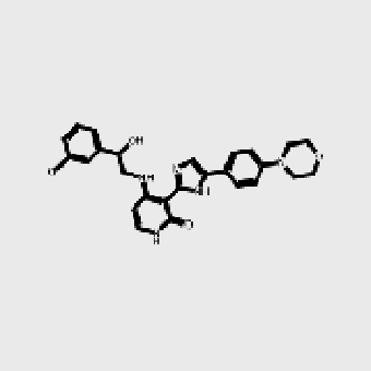 O=c1[nH]ccc(NCC(O)c2cccc(Cl)c2)c1-c1ncc(-c2ccc(N3CCOCC3)cc2)[nH]1